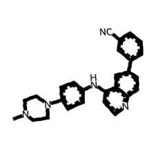 CN1CCN(c2ccc(Nc3ccnc4ccc(-c5cccc(C#N)c5)cc34)cc2)CC1